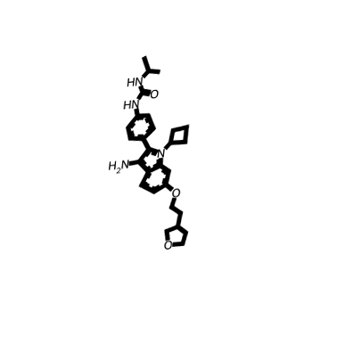 CC(C)NC(=O)Nc1ccc(-c2c(N)c3ccc(OCCC4CCOC4)cc3n2C2CCC2)cc1